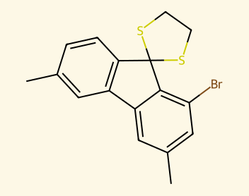 Cc1ccc2c(c1)-c1cc(C)cc(Br)c1C21SCCS1